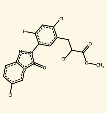 COC(=O)C(Cl)Cc1cc(-n2nc3ccc(Cl)cn3c2=O)c(F)cc1Cl